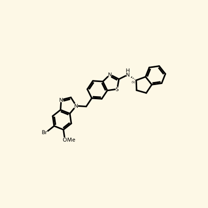 COc1cc2c(cc1Br)ncn2Cc1ccc2nc(N[C@H]3CCc4ccccc43)sc2c1